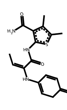 CC=C(NC1=CCC(=O)C=C1)C(=O)Nc1sc(C)c(C)c1C(N)=O